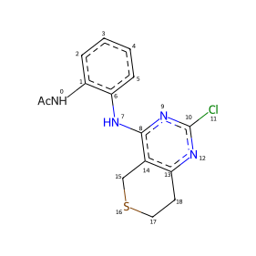 CC(=O)Nc1ccccc1Nc1nc(Cl)nc2c1CSCC2